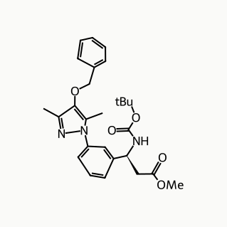 COC(=O)C[C@H](NC(=O)OC(C)(C)C)c1cccc(-n2nc(C)c(OCc3ccccc3)c2C)c1